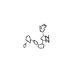 Clc1cccc(Oc2ccccc2C2=CC(c3cccnc3)N=N2)c1